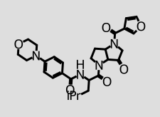 CC(C)CC(NC(=O)c1ccc(N2CCOCC2)cc1)C(=O)N1CCC2C1C(=O)CN2C(=O)c1ccoc1